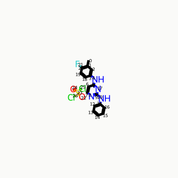 Cc1cc(Nc2ccnc(Nc3ccccc3)n2)ccc1F.O=S(=O)(Cl)Cl